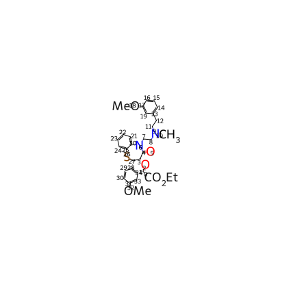 CCOC(=O)CO[C@H]1C(=O)N(CCN(C)CCc2cccc(OC)c2)c2ccccc2S[C@H]1c1ccc(OC)cc1